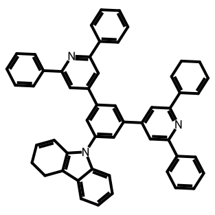 C1=CC(c2cc(-c3cc(-c4cc(-c5ccccc5)nc(-c5ccccc5)c4)cc(-n4c5c(c6ccccc64)CCC=C5)c3)cc(-c3ccccc3)n2)=CCC1